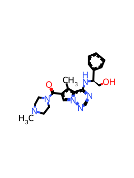 Cc1c(C(=O)N2CCN(C)CC2)cn2ncnc(N[C@H](CO)c3ccccc3)c12